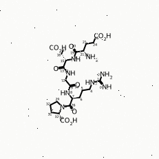 N=C(N)NCCC[C@H](NC(=O)CNC(=O)[C@H](CC(=O)O)NC(=O)[C@@H](N)CCC(=O)O)C(=O)N1CCC[C@H]1C(=O)O